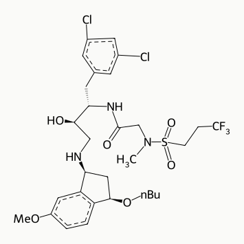 CCCCO[C@@H]1C[C@H](NC[C@@H](O)[C@H](Cc2cc(Cl)cc(Cl)c2)NC(=O)CN(C)S(=O)(=O)CCC(F)(F)F)c2cc(OC)ccc21